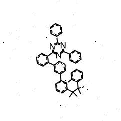 CC1(C)c2ccccc2-c2c(-c3cccc(-c4ccccc4-c4nc(-c5ccccc5)nc(-c5ccccc5)n4)c3)cccc2C1(C)C